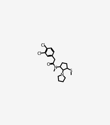 CSC1CCC(N(C)C(=O)Cc2ccc(Cl)c(Cl)c2)C1N1CCCC1